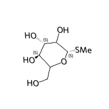 CS[C@@H]1OC(CO)[C@@H](O)[C@H](O)C1O